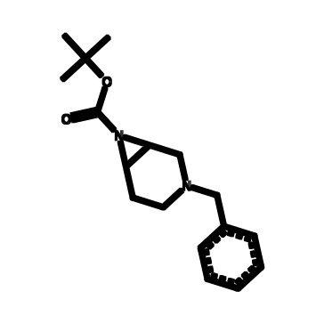 CC(C)(C)OC(=O)N1C2CCN(Cc3ccccc3)CC21